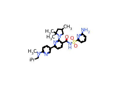 CC(C)CN(C)c1ccc(-c2ccc(C(=O)NS(=O)(=O)c3cccc(N)n3)c(N3CC(C)CC3(C)C)n2)cn1